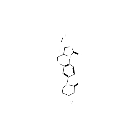 CO[C@@H]1CCN(c2ccc3c(c2)OC[C@H]2[C@H](CO)OC(=O)N32)C(=O)C1